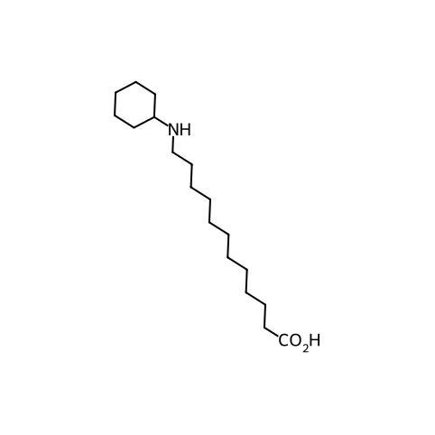 O=C(O)CCCCCCCCCCCNC1CCCCC1